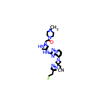 CN1CCN(C(=O)CN2C=C(Nc3nc4c(N5CC(CC#N)(n6cc(CCF)cn6)C5)cccn4n3)CN2)CC1